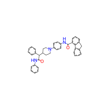 O=C(Nc1ccc(N2CCC(C(C(=O)Nc3ccccc3)c3ccccc3)CC2)cc1)c1cccc2c1-c1ccccc1C2